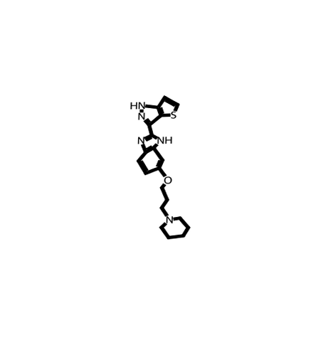 c1cc2[nH]nc(-c3nc4ccc(OCCCN5CCCCC5)cc4[nH]3)c2s1